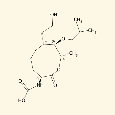 CC(C)CO[C@@H]1[C@@H](CCO)CCC[C@H](NC(=O)O)C(=O)O[C@H]1C